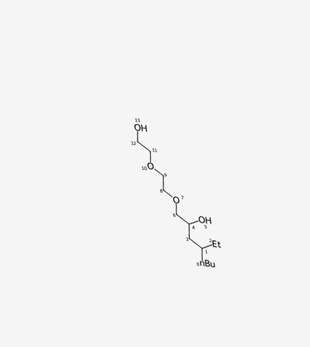 CCCCC(CC)CC(O)COCCOCCO